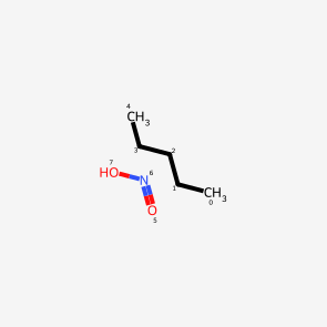 CCCCC.O=NO